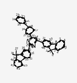 CC1(C)c2ccccc2-c2ccc(-c3cc(-c4ccc(-c5ccccc5)cc4)nc(-c4ccc5c(c4)C(C)(C)c4ccccc4-5)n3)cc21